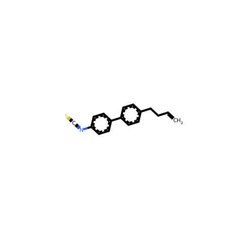 C=CCCc1ccc(-c2ccc(N=C=S)cc2)cc1